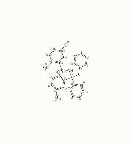 O=C(NC(Cc1ccccc1)(c1cccc(C(F)(F)F)c1)c1ccccn1)c1cc(Cl)ccc1C(F)(F)F